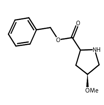 CO[C@@H]1CNC(C(=O)OCc2ccccc2)C1